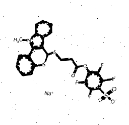 Cn1c2c(c3ccccc31)C(SCCC(=O)Oc1c(F)c(F)c(S(=O)(=O)[O-])c(F)c1F)Sc1ccccc1-2.[Na+]